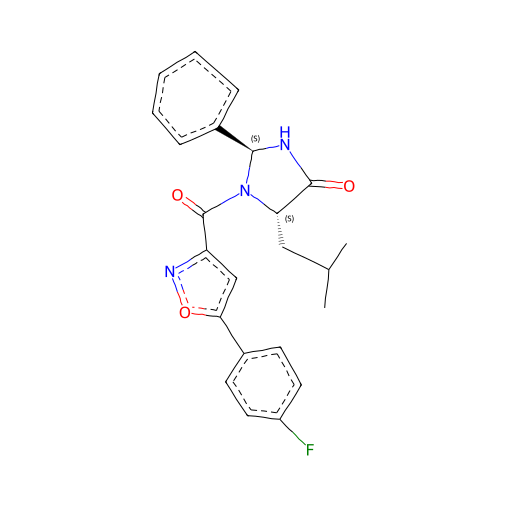 CC(C)C[C@H]1C(=O)N[C@H](c2ccccc2)N1C(=O)c1cc(-c2ccc(F)cc2)on1